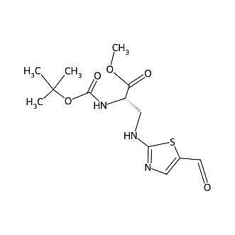 COC(=O)[C@H](CNc1ncc(C=O)s1)NC(=O)OC(C)(C)C